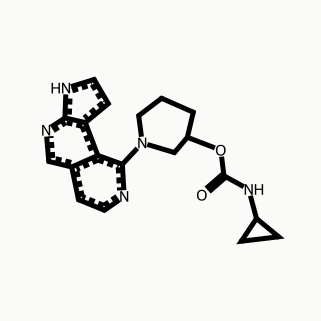 O=C(NC1CC1)OC1CCCN(c2nccc3cnc4[nH]ccc4c23)C1